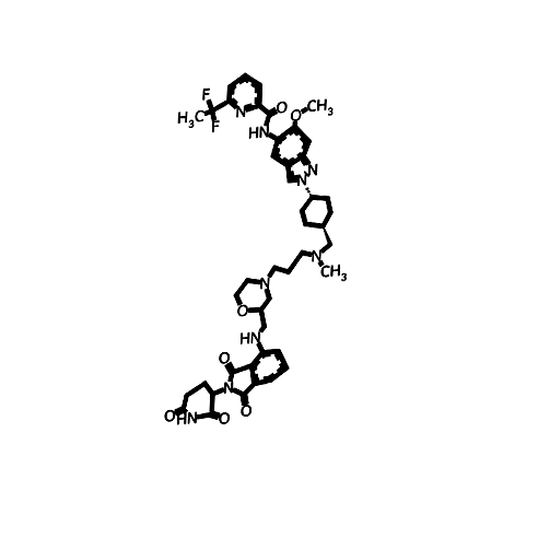 COc1cc2nn([C@H]3CC[C@H](CN(C)CCCN4CCOC(CNc5cccc6c5C(=O)N(C5CCC(=O)NC5=O)C6=O)C4)CC3)cc2cc1NC(=O)c1cccc(C(C)(F)F)n1